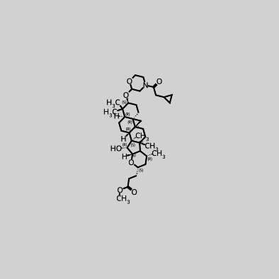 COC(=O)CC[C@H]1C[C@@H](C)C2[C@H](O1)[C@H](O)[C@@]1(C)[C@@H]3CC[C@H]4C(C)(C)[C@@H](OC5CN(C(=O)CC6CC6)CCO5)CC[C@@]45C[C@@]35CC[C@]21C